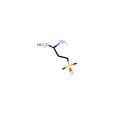 CP(C)(=O)CCC(N)C(=O)O